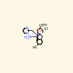 CC[C@@H]1C[C@]2(CC[C@H]1OC)Cc1ccc(C#N)cc1C21N=C(N)N(Cc2ncccn2)C1=O